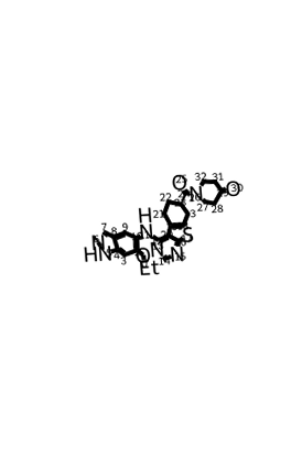 CCOc1cc2[nH]ncc2cc1Nc1ncnc2sc3c(c12)CC[C@@H](C(=O)N1CCC(=O)CC1)C3